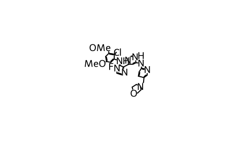 COc1cc(OC)c(Cl)c(Nc2nccnc2-c2cc(Nc3ccc(CN4CCOCC4)cn3)ncn2)c1F